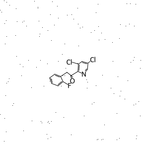 O=C(Cc1ccccc1F)c1ncc(Cl)cc1Cl